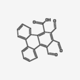 O=Cc1c(C=O)c(C(=O)O)c2c3ccccc3c3ccccc3c2c1C=O